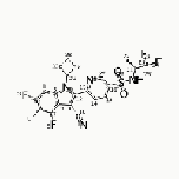 Cc1c(F)cc2c(c1F)c(C#N)c(-c1ccc(S(=O)(=O)N[C@@H](C)C(F)(F)F)cn1)n2C1CCC1